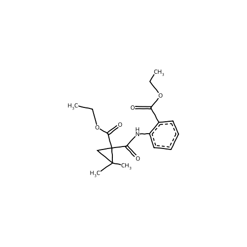 CCOC(=O)c1ccccc1NC(=O)C1(C(=O)OCC)CC1(C)C